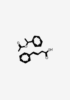 CC(=O)OC(C)c1ccccc1.O=C(O)CC=Cc1ccccc1